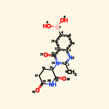 Cc1nc2ccc(B(O)O)cc2c(=O)n1C1CCC(=O)NC1=O